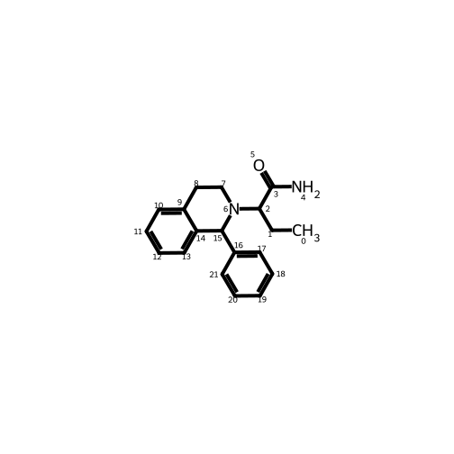 CCC(C(N)=O)N1CCc2ccccc2C1c1ccccc1